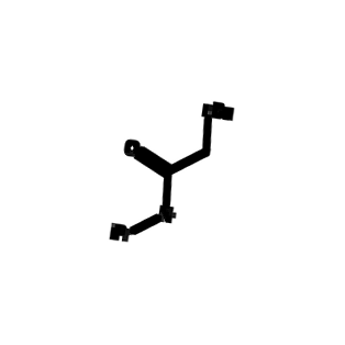 CCCCCC(=O)[N]C(C)C